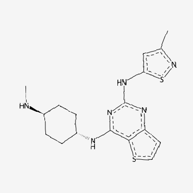 CN[C@H]1CC[C@H](Nc2nc(Nc3cc(C)ns3)nc3ccsc23)CC1